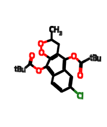 CC1Cc2c(c(OC(=O)C(C)(C)C)c3ccc(Cl)cc3c2OC(=O)C(C)(C)C)OO1